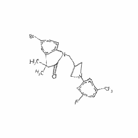 CC1(C)C(=O)N(CC2CN(c3cc(F)cc(C(F)(F)F)c3)C2)c2ccc(Br)cc21